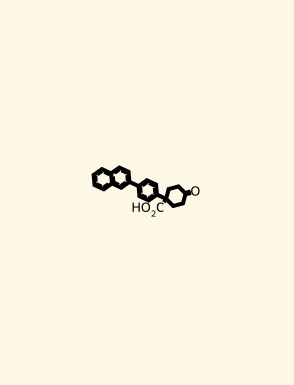 O=C1CCC(C(=O)O)(c2ccc(-c3ccc4ccccc4c3)cc2)CC1